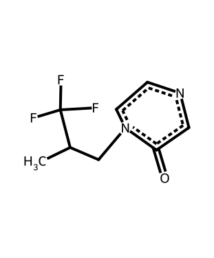 CC(Cn1ccncc1=O)C(F)(F)F